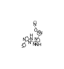 c1cc2[nH]c(-c3n[nH]c4ccc(-c5cncc(OCCN6CCCC6)c5)nc34)nc2c(-c2ccsc2)n1